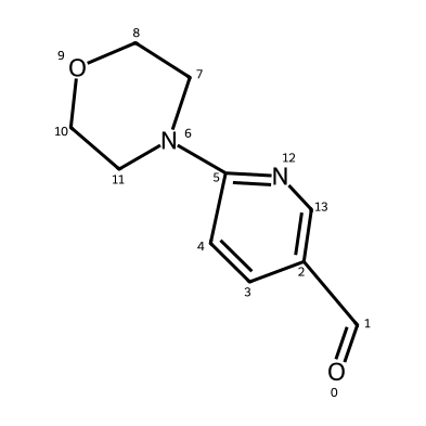 O=Cc1ccc(N2CCOCC2)nc1